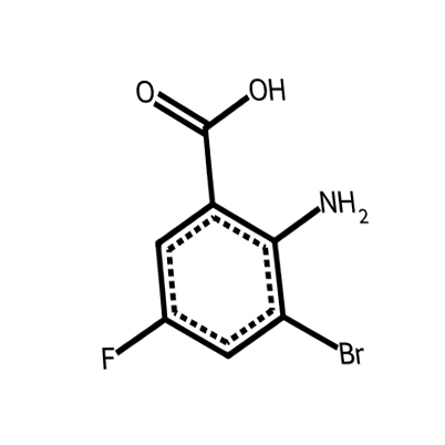 Nc1c(Br)cc(F)cc1C(=O)O